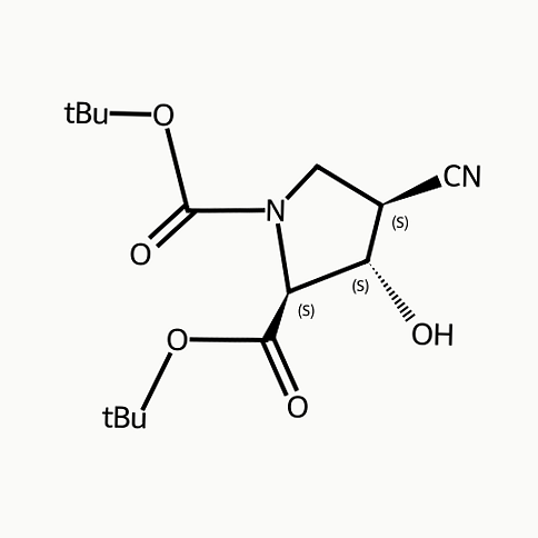 CC(C)(C)OC(=O)[C@@H]1[C@@H](O)[C@H](C#N)CN1C(=O)OC(C)(C)C